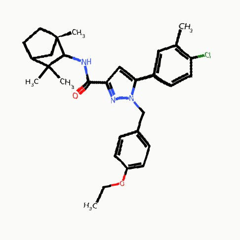 CCOc1ccc(Cn2nc(C(=O)NC3C(C)(C)C4CC[C@@]3(C)C4)cc2-c2ccc(Cl)c(C)c2)cc1